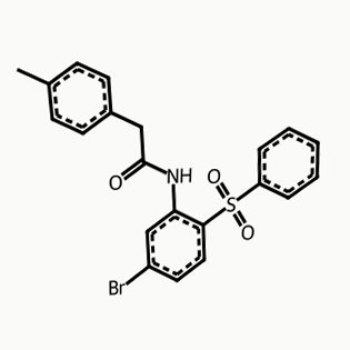 Cc1ccc(CC(=O)Nc2cc(Br)ccc2S(=O)(=O)c2ccccc2)cc1